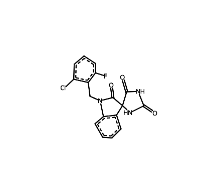 O=C1NC(=O)C2(N1)C(=O)N(Cc1c(F)cccc1Cl)c1ccccc12